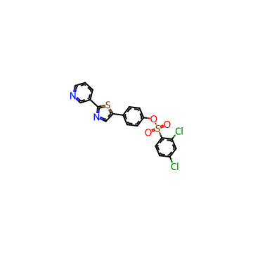 O=S(=O)(Oc1ccc(-c2cnc(-c3cccnc3)s2)cc1)c1ccc(Cl)cc1Cl